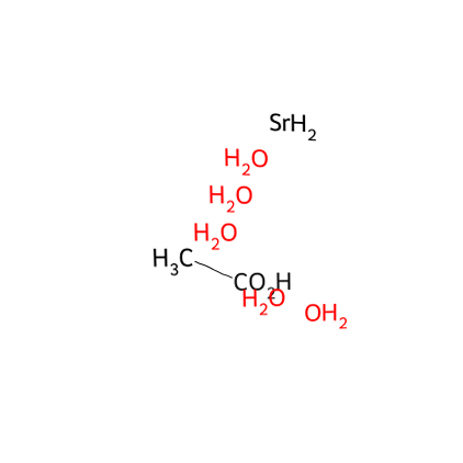 CC(=O)O.O.O.O.O.O.[SrH2]